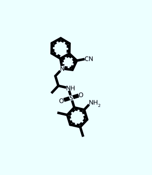 Cc1cc(C)c(S(=O)(=O)NC(C)Cn2cc(C#N)c3ccccc32)c(N)c1